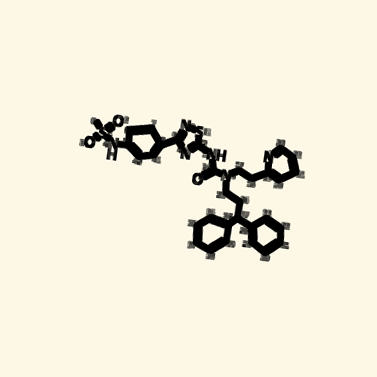 CS(=O)(=O)Nc1ccc(-c2nsc(NC(=O)N(CCc3ccccn3)CCC(c3ccccc3)c3ccccc3)n2)cc1